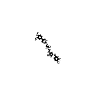 COc1ccc(-c2cnc(SCC(=O)NCC[C@@H]3C[C@@H](Cc4ccc(Cl)c(Cl)c4)CN3)nc2)cc1OC